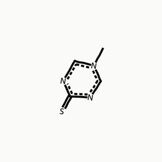 Cn1cnc(=S)nc1